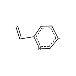 [CH]=Cc1cc[c]cn1